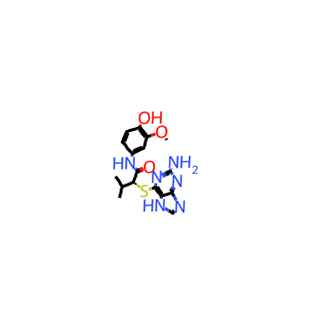 COc1cc(NC(=O)[C@@H](Sc2nc(N)nc3nc[nH]c23)C(C)C)ccc1O